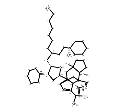 CCCCCCCN(CCN1CCCCC1)C[C@@H]1O[C@@H](C23C[C@@H]4[C@H](C)CC[C@H]4C4(C=O)CC2C=C(C(C)C)[C@]43C(=O)O)C[C@H]1C1CCCCC1